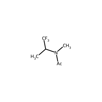 CC(=O)N(C)C(C)C(F)(F)F